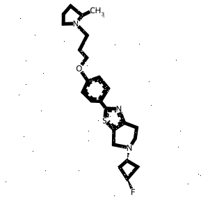 CC1CCCN1CCCOc1ccc(-c2nc3c(s2)CN([C@H]2C[C@H](F)C2)CC3)cc1